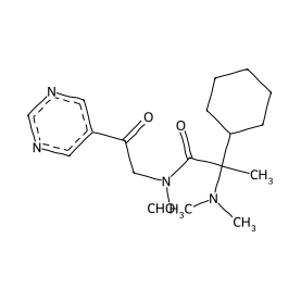 CN(C)C(C)(C(=O)N(C=O)CC(=O)c1cncnc1)C1CCCCC1